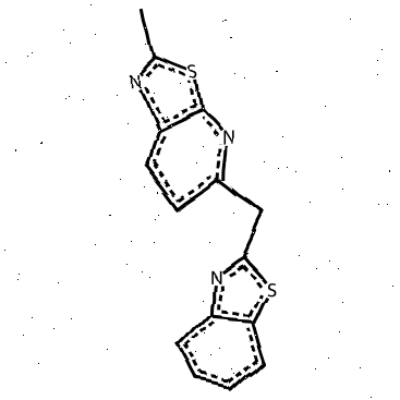 Cc1nc2ccc(Cc3nc4ccccc4s3)nc2s1